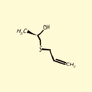 C=CCS[C@@H](C)O